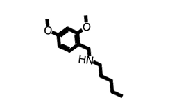 CCCCCNCc1ccc(OC)cc1OC